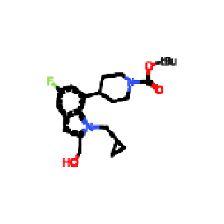 CC(C)(C)OC(=O)N1CCC(c2cc(F)cc3cc(CO)n(CC4CC4)c23)CC1